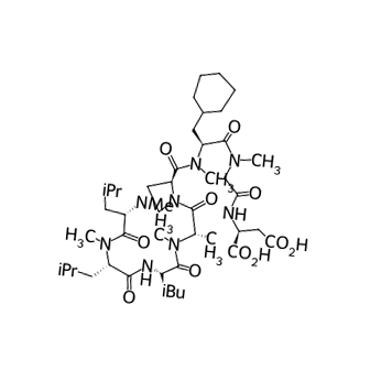 CC[C@H](C)[C@H](NC(=O)[C@H](CC(C)C)N(C)C(=O)[C@H](CC(C)C)NC)C(=O)N(C)[C@@H](C)C(=O)N1CC[C@H]1C(=O)N(C)[C@@H](CC1CCCCC1)C(=O)N(C)CC(=O)N[C@@H](CC(=O)O)C(=O)O